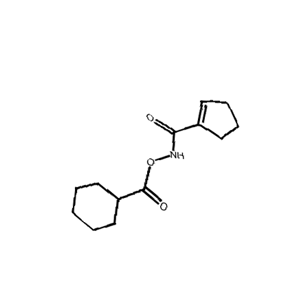 O=C(NOC(=O)C1CCCCC1)C1=CCCC1